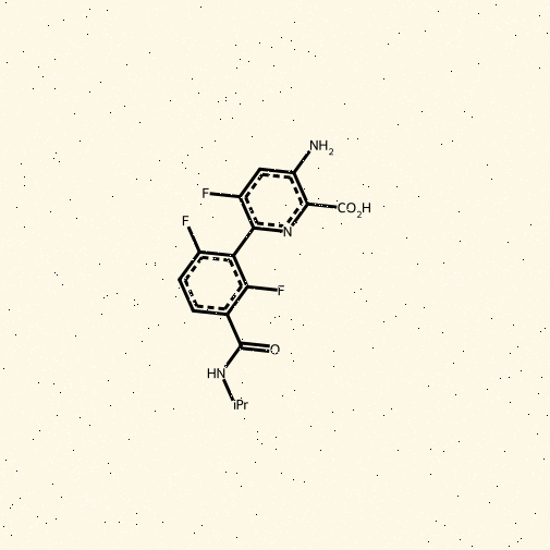 CC(C)NC(=O)c1ccc(F)c(-c2nc(C(=O)O)c(N)cc2F)c1F